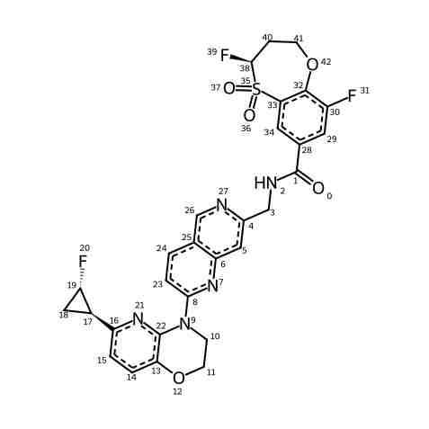 O=C(NCc1cc2nc(N3CCOc4ccc([C@H]5C[C@@H]5F)nc43)ccc2cn1)c1cc(F)c2c(c1)S(=O)(=O)[C@@H](F)CCO2